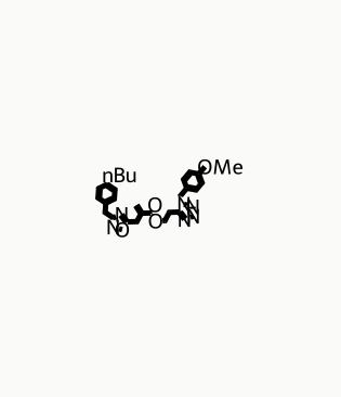 C=C(Cc1nc(Cc2ccc(CCCC)cc2)no1)C(=O)OCCc1nnnn1Cc1ccc(OC)cc1